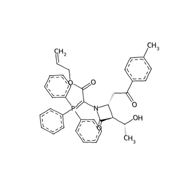 C=CCOC(=O)C(N1C(=O)[C@H]([C@@H](C)O)[C@H]1CC(=O)c1ccc(C)cc1)=P(c1ccccc1)(c1ccccc1)c1ccccc1